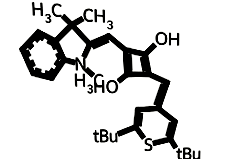 CN1C(=CC2=C(O)C(C=C3C=C(C(C)(C)C)SC(C(C)(C)C)=C3)=C2O)C(C)(C)c2ccccc21